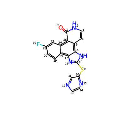 O=c1[nH]ccc2c3[nH]c(Sc4cnccn4)nc3c3ccc(F)cc3c12